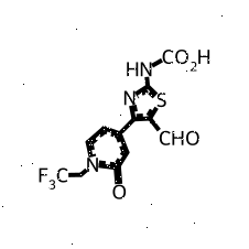 O=Cc1sc(NC(=O)O)nc1-c1ccn(CC(F)(F)F)c(=O)c1